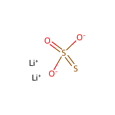 O=S([O-])([O-])=S.[Li+].[Li+]